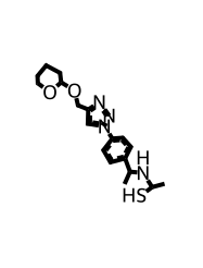 CC(S)NC(C)c1ccc(-n2cc(COC3CCCCO3)nn2)cc1